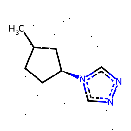 CC1CC[C@H](n2cnnc2)C1